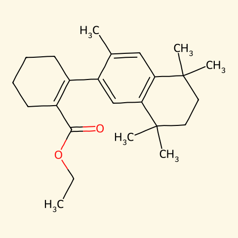 CCOC(=O)C1=C(c2cc3c(cc2C)C(C)(C)CCC3(C)C)CCCC1